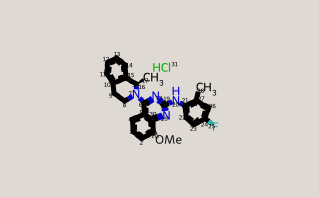 COc1cccc2c(N3CCc4ccccc4[C@H]3C)nc(Nc3ccc(F)cc3C)nc12.Cl